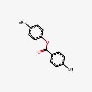 CCCCc1ccc(OC(=O)c2ccc(C#N)cc2)cc1